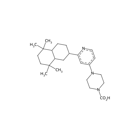 CC1(C)CCC(C)(C)C2CC(c3cc(N4CCN(C(=O)O)CC4)ccn3)CCC21